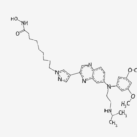 COc1cc(OC)cc(N(CCNC(C)C)c2ccc3ncc(-c4cnn(CCCCCCCCC(=O)NO)c4)nc3c2)c1